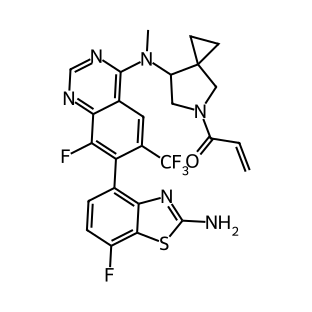 C=CC(=O)N1CC(N(C)c2ncnc3c(F)c(-c4ccc(F)c5sc(N)nc45)c(C(F)(F)F)cc23)C2(CC2)C1